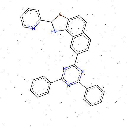 c1ccc(-c2nc(-c3ccccc3)nc(-c3ccc4ccc5c(c4c3)NC(c3ccccn3)S5)n2)cc1